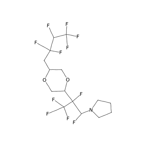 FC(C(F)(F)F)C(F)(F)CC1COC(C(F)(C(F)N2CCCC2)C(F)(F)F)CO1